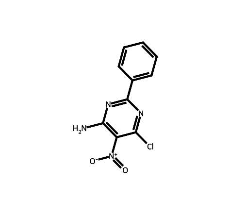 Nc1nc(-c2ccccc2)nc(Cl)c1[N+](=O)[O-]